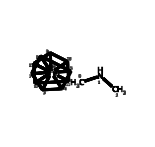 CNC.[CH]12[CH]3[CH]4[CH]5[CH]1[Fe]23451678[CH]2[CH]1[CH]6[CH]7[CH]28